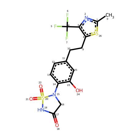 Cc1nc(C(F)(F)F)c(CCc2ccc(N3CC(=O)NS3(=O)=O)c(O)c2)s1